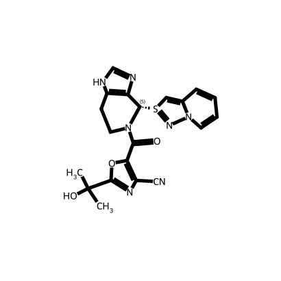 CC(C)(O)c1nc(C#N)c(C(=O)N2CCc3[nH]cnc3[C@@H]2S2=NN3C=CC=CC3=C2)o1